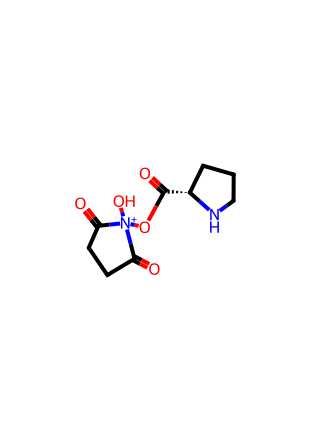 O=C(O[N+]1(O)C(=O)CCC1=O)[C@@H]1CCCN1